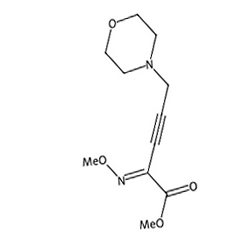 CON=C(C#CCN1CCOCC1)C(=O)OC